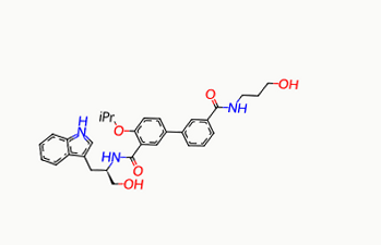 CC(C)Oc1ccc(-c2cccc(C(=O)NCCCO)c2)cc1C(=O)N[C@@H](CO)Cc1c[nH]c2ccccc12